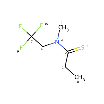 CCC(=S)N(C)CC(F)(F)F